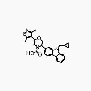 Cc1noc(C)c1C1CN(C(=O)O)C(c2ccc3c4ccccc4n(CC4CC4)c3c2)CO1